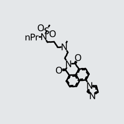 CCCN(CCCN(C)CCN1C(=O)c2cccc3c(-n4ccnc4)ccc(c23)C1=O)S(C)(=O)=O